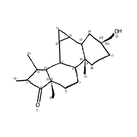 CC1C(=O)[C@@]2(C)CCC3C(C4CC4C4C[C@@H](O)CC[C@@]43C)C2C1C